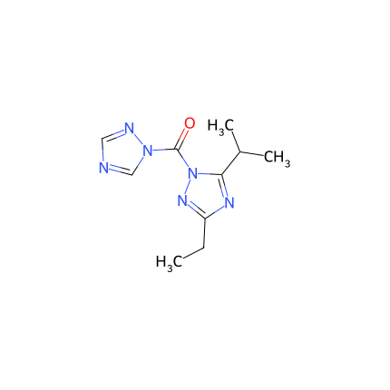 CCc1nc(C(C)C)n(C(=O)n2cncn2)n1